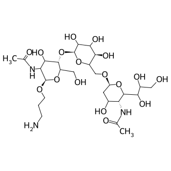 CC(=O)NC1C(O)[C@H](O[C@@H]2OC(CO[C@@H]3CC(O)[C@@H](NC(C)=O)C(C(O)C(O)CO)O3)[C@H](O)C(O)C2O)C(CO)O[C@H]1OCCCN